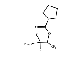 O=C(OC(C(F)(F)F)C(F)(F)S(=O)(=O)O)C1CCCC1